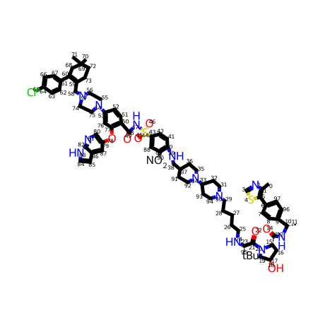 Cc1ncsc1-c1ccc([C@H](C)NC(=O)[C@@H]2C[C@@H](O)CN2C(=O)[C@@H](NCCCCCN2CCC(N3CCC(CNc4ccc(S(=O)(=O)NC(=O)c5ccc(N6CCN(CC7=C(c8ccc(Cl)cc8)CC(C)(C)CC7)CC6)cc5Oc5cnc6[nH]ccc6c5)cc4[N+](=O)[O-])CC3)CC2)C(C)(C)C)cc1